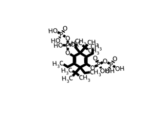 CCC1=C(OP(=O)(O)OP(=O)(O)O)C(CC)(C(C)(C)C)C(CC)=C(OP(=O)(O)OP(=O)(O)O)C1(CC)C(C)(C)C